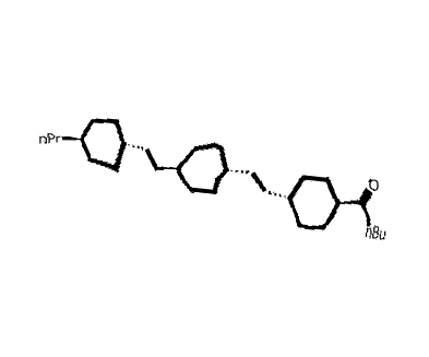 CCCCC(=O)[C@H]1CC[C@H](CC[C@H]2CC[C@H](CC[C@H]3CC[C@H](CCC)CC3)CC2)CC1